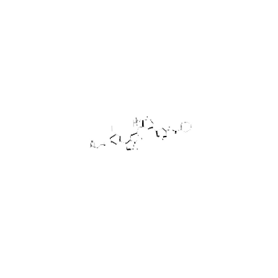 CN(C)CCOc1cc(F)cc(-c2ccnc3[nH]c(-c4n[nH]c5ncc(-c6cncc(NC(=O)C7CCCCC7)c6)cc45)cc23)c1